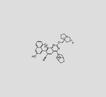 Cc1cccc2cc(O)cc(-c3c(C#N)cc4c(N5CC6CCC(C5)N6)nc(OC[C@@]56CCCN5C[C@H](F)C6)nc4c3F)c12